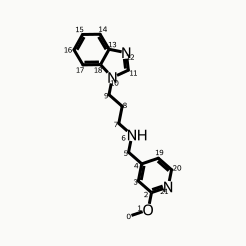 COc1cc(CNCCCn2cnc3ccccc32)ccn1